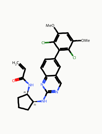 C=CC(=O)N[C@@H]1CCC[C@@H]1Nc1ncc2cc(-c3c(Cl)c(OC)cc(OC)c3Cl)ccc2n1